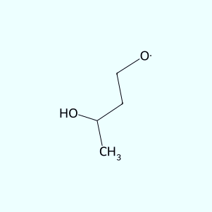 CC(O)CC[O]